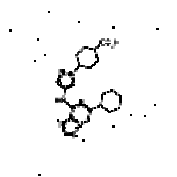 O=C(O)[C@H]1CC[C@@H](n2cc(Nc3nc(C4CCCCC4)cn4ncnc34)cn2)CC1